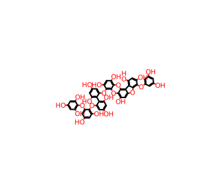 Oc1cc(O)cc(Oc2c(O)cc(O)c3c2oc2cc(O)c4c(c23)Oc2c(O)cc(O)c(Oc3cc(O)cc(O)c3-c3c(O)cc(O)cc3Oc3c(O)cc(O)cc3Oc3c(O)cc(O)cc3O)c2O4)c1